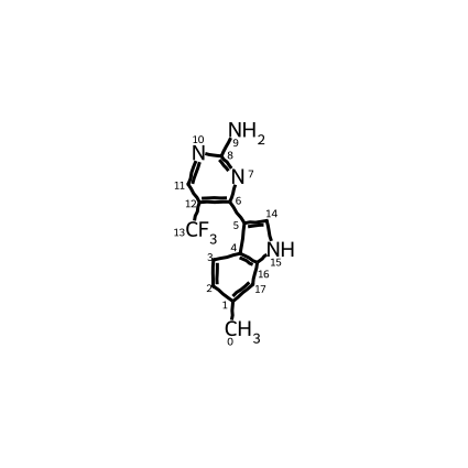 Cc1ccc2c(-c3nc(N)ncc3C(F)(F)F)c[nH]c2c1